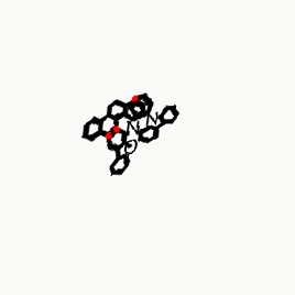 c1ccc(-n2c3ccccc3c3cccc(N(c4cccc5c4oc4ccccc45)c4cccc5ccc6c7ccccc7ccc6c45)c32)cc1